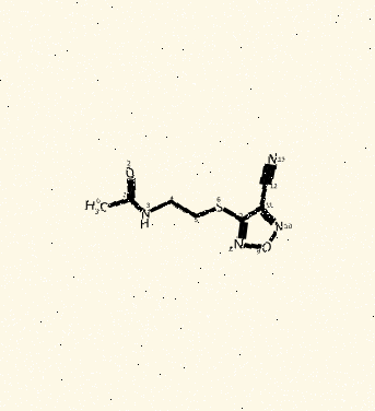 CC(=O)NCCSc1nonc1C#N